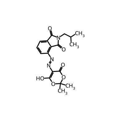 CC(C)CN1C(=O)c2cccc(N=NC3=C(O)OC(C)(C)OC3=O)c2C1=O